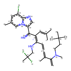 C=C(C(C)=C=C/C(NCC(C)(F)F)=C(\C=C(C)C)C(=N)c1cnc2c(F)cc(C)cn12)N(C)CCC(C)(CC)CC